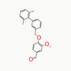 COc1cc(C=O)ccc1OCc1cccc(-c2c(C)cccc2C)c1